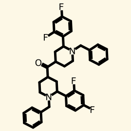 O=C(C1CCN(Cc2ccccc2)C(c2ccc(F)cc2F)C1)C1CCN(Cc2ccccc2)C(c2ccc(F)cc2F)C1